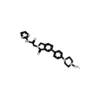 CN1CCN(c2ccc(-c3ccc4c(c3)C(=O)N(CC(=O)Nc3nccs3)C4)cc2)CC1